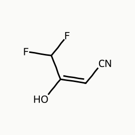 N#C/C=C(/O)C(F)F